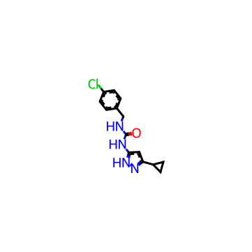 O=C(NCc1ccc(Cl)cc1)Nc1cc(C2CC2)n[nH]1